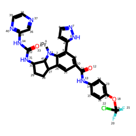 CC(C)N1c2c(-c3ccn[nH]3)cc(C(=O)Nc3ccc(OC(F)(F)Cl)cc3)cc2C2CCC(NC(=O)Nc3cnccn3)C21